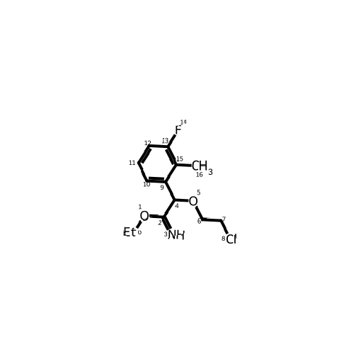 CCOC(=N)C(OCCCl)c1cccc(F)c1C